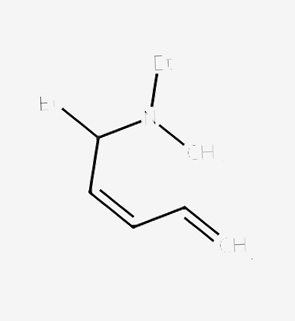 C=C/C=C\C(CC)N(C)CC